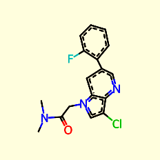 CN(C)C(=O)Cn1cc(Cl)c2ncc(-c3ccccc3F)cc21